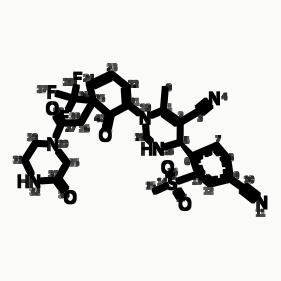 CC1=C(C#N)[C@@H](c2ccc(C#N)cc2S(C)(=O)=O)NCN1C1=CC=CC(CC(=O)N2CCNC(=O)C2)(C(F)(F)F)C1=O